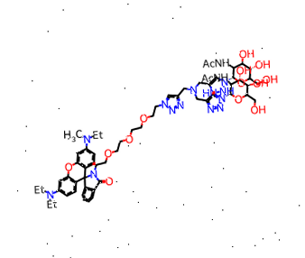 CCN(C)c1ccc2c(c1)Oc1cc(N(CC)CC)ccc1C21c2ccccc2C(=O)N1CCOCCOCCOCCn1cc(CN(CC2=CN([C@H]3OC(CO)[C@@H](O)[C@H](O)C3NC(C)=O)NN2)Cc2cn([C@H]3OC(CO)[C@H](O)[C@@H](O)C3NC(C)=O)nn2)nn1